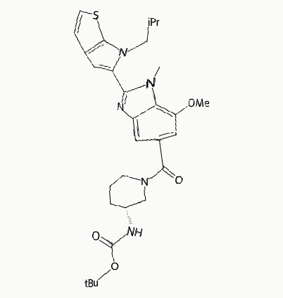 COc1cc(C(=O)N2CCC[C@@H](NC(=O)OC(C)(C)C)C2)cc2nc(-c3cc4ccsc4n3CC(C)C)n(C)c12